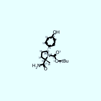 CC(C)(C)OC(=O)N1[C@@H](c2ccc(O)cc2)CC[C@@]1(C)C(N)=O